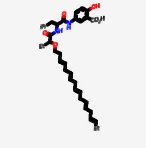 CCC=CCC=CCC=CCC=CCC=CCCOC(CC)C(=O)NC(CC(C)C)C(=O)Nc1ccc(O)c(C(=O)O)c1